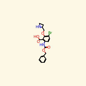 O=C(Nc1ccc(Br)c(OCC2CCN2)c1C(=O)O)OCc1ccccc1